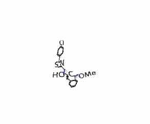 CO/C=C(/C(=O)O)c1ccccc1C=C/C=C/c1csc(-c2ccc(Cl)cc2)n1